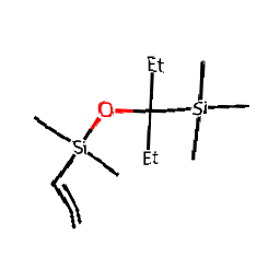 C=C[Si](C)(C)OC(CC)(CC)[Si](C)(C)C